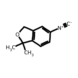 [C-]#[N+]c1ccc2c(c1)COC2(C)C